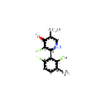 CCOC(=O)c1c[nH]c(-c2c(F)ccc([N+](=O)[O-])c2F)c(F)c1=O